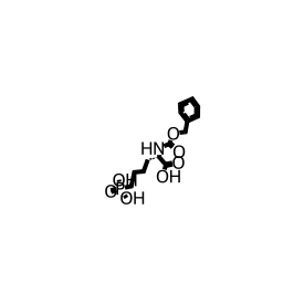 O=C(N[C@@H](CCCCP(=O)(O)O)C(=O)O)OCc1ccccc1